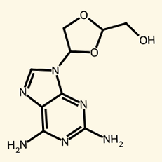 Nc1nc(N)c2ncn(C3COC(CO)O3)c2n1